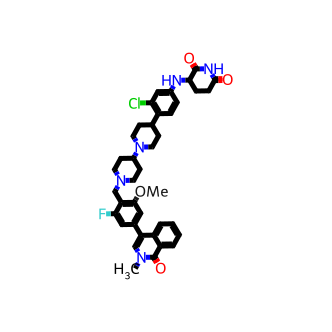 COc1cc(-c2cn(C)c(=O)c3ccccc23)cc(F)c1CN1CCC(N2CCC(c3ccc(NC4CCC(=O)NC4=O)cc3Cl)CC2)CC1